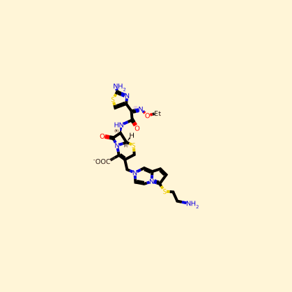 CCO/N=C(\C(=O)N[C@@H]1C(=O)N2C(C(=O)[O-])=C(Cn3cc[n+]4c(SCCN)ccc-4c3)CS[C@H]12)c1csc(N)n1